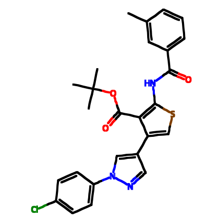 Cc1cccc(C(=O)Nc2scc(-c3cnn(-c4ccc(Cl)cc4)c3)c2C(=O)OC(C)(C)C)c1